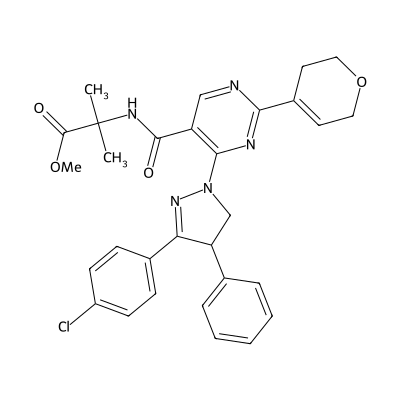 COC(=O)C(C)(C)NC(=O)c1cnc(C2=CCOCC2)nc1N1CC(c2ccccc2)C(c2ccc(Cl)cc2)=N1